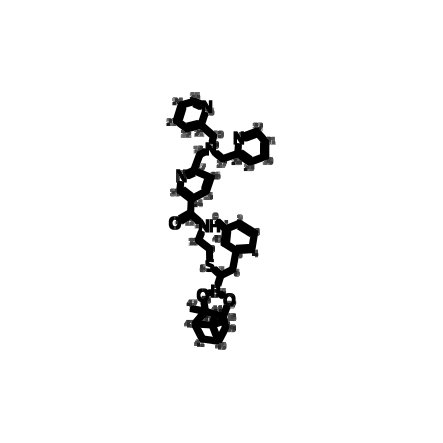 Cc1cccc(CC(SCCNC(=O)c2ccc(CN(Cc3ccccn3)Cc3ccccn3)nc2)B2OC3CC4CC(C4(C)C)C3(C)O2)c1